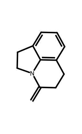 C=C1CCc2cccc3c2N1CC3